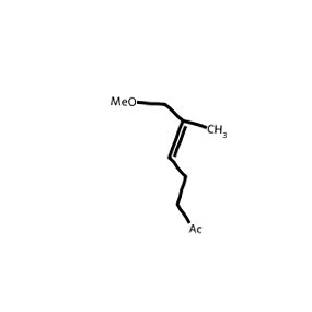 COCC(C)=CCCC(C)=O